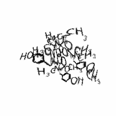 CC[C@@H](C)[C@H](OC(=O)[C@@H](Cc1ccc(OC)cc1)N(C)C)C(=O)N[C@@H](C(=O)N(C)[C@H](Cc1ccc(O)cc1)C(=O)N(C)[C@@H](Cc1ccc(O)cc1)C(=O)OC)C(C)C